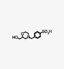 O=S(=O)(O)c1ccc(CN2CCOC(CO)C2)cc1